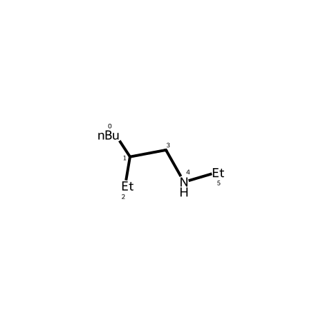 CCCCC(CC)CNCC